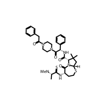 CN[C@@H](C)C(=S)N[C@H]1CCS[C@H]2CC(C)(C)[C@@H](C(=O)N[C@H](C(=O)N3CCN(C(=O)Cc4ccccc4)CC3)c3ccccc3)N2C1=O